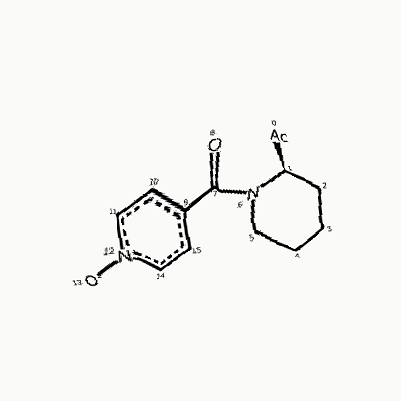 CC(=O)[C@H]1CCCCN1C(=O)c1cc[n+]([O-])cc1